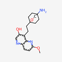 COc1ccc2ncc(O)c(CCC34CCC(N)(CC3)CO4)c2n1